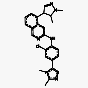 Cc1ncc(-c2ccc(Nc3cc4c(C5C=NN(C)C5C)cccc4cn3)c(Cl)c2)n1C